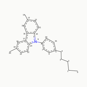 CCCCCc1ccc(-n2c3ccc(C)cc3c3cc(C)ccc32)cc1